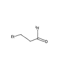 [2H]C(=O)CCCC